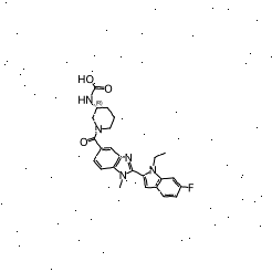 CCn1c(-c2nc3cc(C(=O)N4CCC[C@@H](NC(=O)O)C4)ccc3n2C)cc2ccc(F)cc21